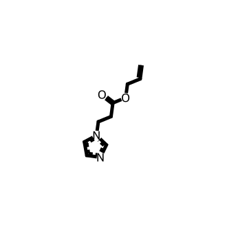 C=CCOC(=O)CCn1ccnc1